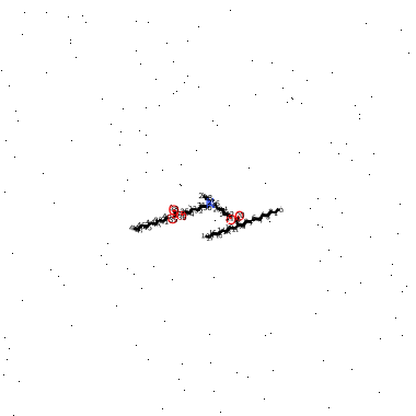 CCCCCCCCCCC(CCCCCCCC)C(=O)OCCCCCN(CC)CCCCCCOC(=O)OCCCCCCCCC